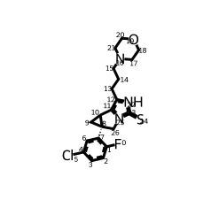 Fc1ccc(Cl)cc1[C@]12CC1c1c(CCCN3CCOCC3)[nH]c(=S)n1C2